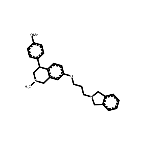 COc1ccc(C2CN(C)Cc3cc(OCCCN4Cc5ccccc5C4)ccc32)cc1